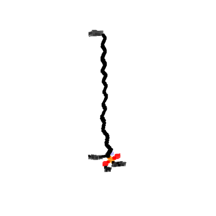 CCCCCCCCCCCCCCCCCCCCCCCCCCCC/C=C(\CCCCCC)P(=O)(OC)OC(C)C